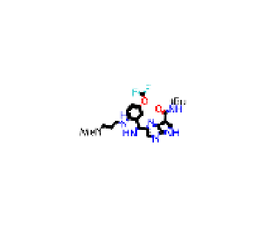 CNCCCNc1ccc(OC(F)F)cc1C(=N)c1cnc2[nH]cc(C(=O)NC(C)(C)C)c2n1